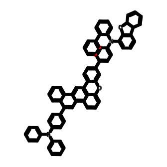 C1=CC2Oc3c(cccc3N(c3ccc(-c4ccc5c(c4)Oc4cccc6c4c-5cc4c5ccccc5c(-c5ccc(B(c7ccccc7)c7ccccc7)cc5)cc64)cc3)c3ccccc3-c3ccccc3)C2C=C1